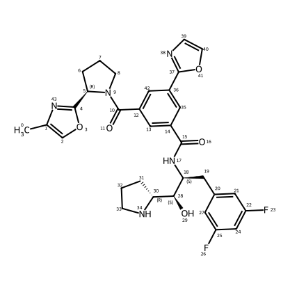 Cc1coc([C@H]2CCCN2C(=O)c2cc(C(=O)N[C@@H](Cc3cc(F)cc(F)c3)[C@@H](O)[C@H]3CCCN3)cc(-c3ncco3)c2)n1